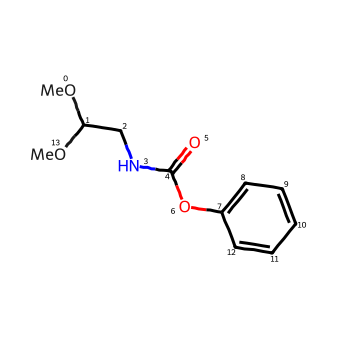 COC(CNC(=O)Oc1ccccc1)OC